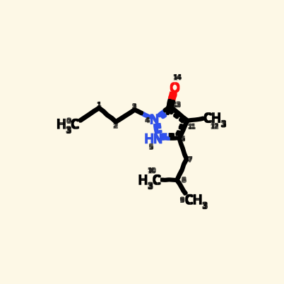 CCCCn1[nH]c(CC(C)C)c(C)c1=O